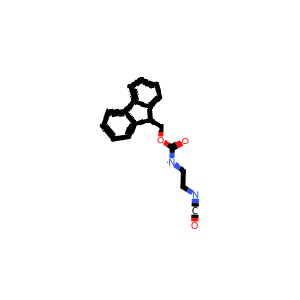 O=C=NCC[N]C(=O)OCC1c2ccccc2-c2ccccc21